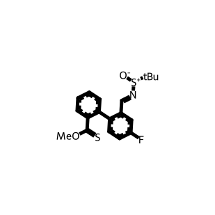 COC(=S)c1ccccc1-c1ccc(F)cc1/C=N/[S+]([O-])C(C)(C)C